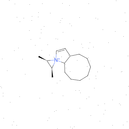 C[C@@H]1[C@H](C)[N+]12C=CC1CCCCCCCC12